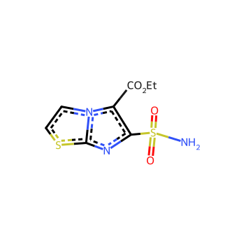 CCOC(=O)c1c(S(N)(=O)=O)nc2sccn12